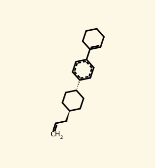 C=CC[C@H]1CC[C@H](c2ccc(C3=CCCCC3)cc2)CC1